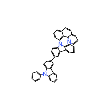 c1ccc(-n2c3ccccc3c3cc(-c4ccc5c(c4)c4ccccc4n5-c4cccc5ccc6cccnc6c45)ccc32)cc1